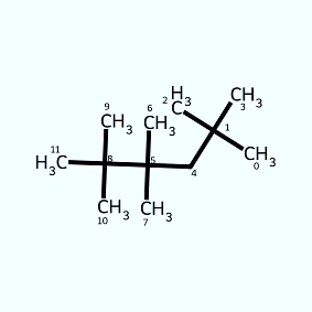 CC(C)(C)CC(C)(C)C(C)(C)C